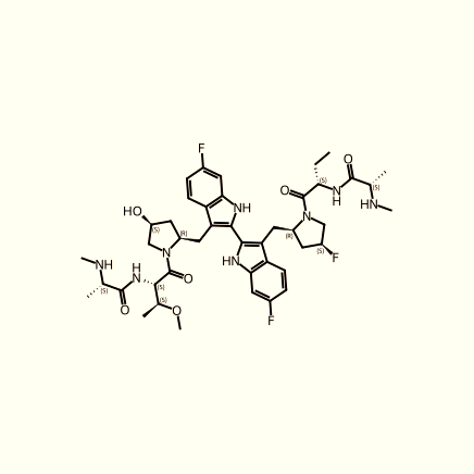 CC[C@H](NC(=O)[C@H](C)NC)C(=O)N1C[C@@H](F)C[C@H]1Cc1c(-c2[nH]c3cc(F)ccc3c2C[C@@H]2C[C@H](O)CN2C(=O)[C@@H](NC(=O)[C@H](C)NC)[C@H](C)OC)[nH]c2cc(F)ccc12